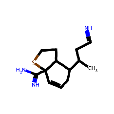 CC(CC=N)C1CC=CC2(C(=N)N)SCCC12